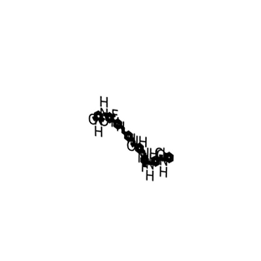 O=C1CC[C@@H](Nc2ccc(N3CCN(CCC4CCN(NC(=O)c5ccc(Nc6ncc(F)c(Nc7ccc(C(=O)Nc8ccccc8Cl)cc7)n6)cc5)CC4)CC3)c(F)c2)C(=O)N1